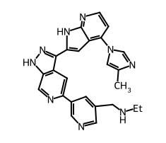 CCNCc1cncc(-c2cc3c(-c4cc5c(-n6cnc(C)c6)ccnc5[nH]4)n[nH]c3cn2)c1